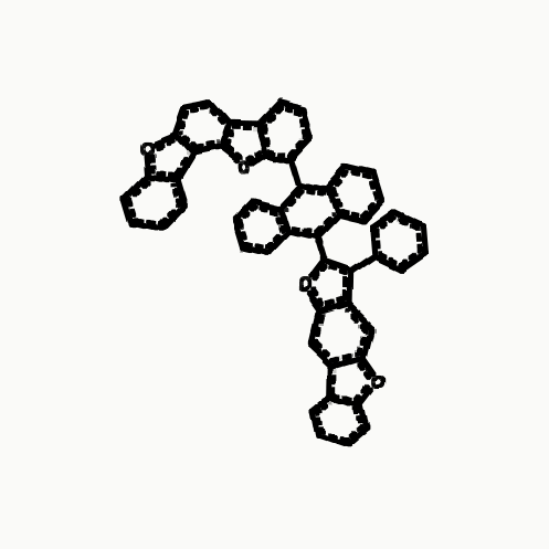 c1ccc(-c2c(-c3c4ccccc4c(-c4cccc5c4oc4c5ccc5oc6ccccc6c54)c4ccccc34)oc3cc4c(cc23)oc2ccccc24)cc1